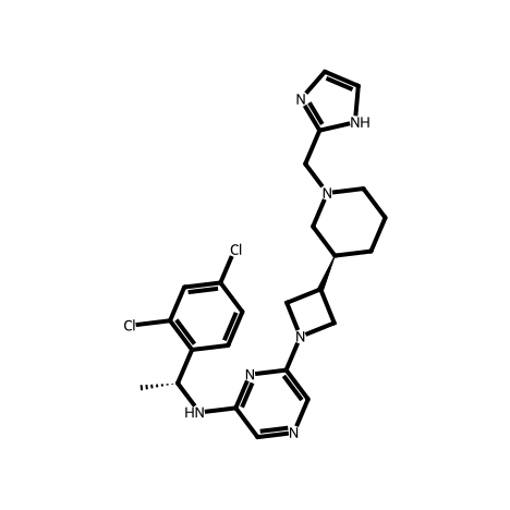 C[C@@H](Nc1cncc(N2CC([C@@H]3CCCN(Cc4ncc[nH]4)C3)C2)n1)c1ccc(Cl)cc1Cl